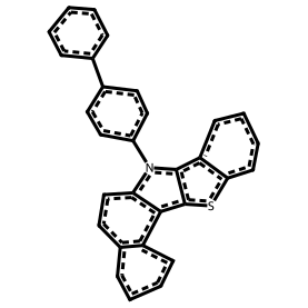 c1ccc(-c2ccc(-n3c4ccc5ccccc5c4c4sc5ccccc5c43)cc2)cc1